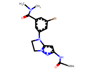 CNC(=O)Nc1cc2n(n1)CCN2c1cc(Br)cc(C(=O)N(C)C)c1